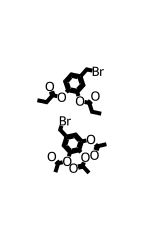 CC(=O)Oc1cc(CBr)cc(OC(C)=O)c1OC(C)=O.CCC(=O)Oc1ccc(CBr)cc1OC(=O)CC